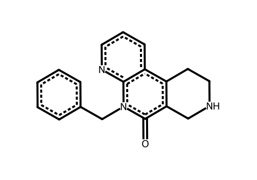 O=c1c2c(c3cccnc3n1Cc1ccccc1)CCNC2